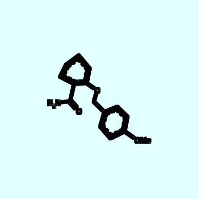 COc1ccc(COc2ccccc2C(N)=O)cc1